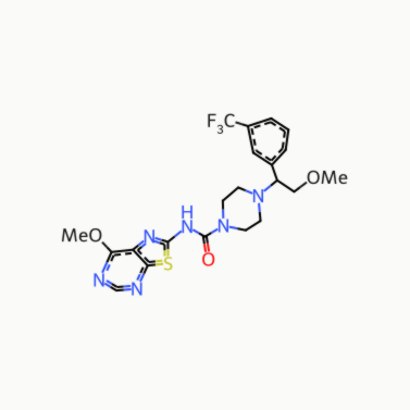 COCC(c1cccc(C(F)(F)F)c1)N1CCN(C(=O)Nc2nc3c(OC)ncnc3s2)CC1